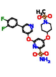 CS(=O)(=O)N1CCC(Oc2cc(Oc3cncc(-c4ccc(F)c(F)c4)c3)nc(S(N)(=O)=O)c2)CC1